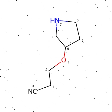 N#CCCOC1CCNC1